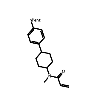 C=CC(=O)N(C)C1CCC(c2ccc(CCCCC)cc2)CC1